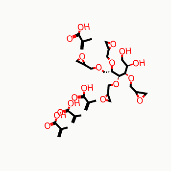 C=C(C)C(=O)O.C=C(C)C(=O)O.C=C(C)C(=O)O.C=C(C)C(=O)O.OC[C@@H](O)[C@@H](OCC1CO1)[C@H](OCC1CO1)[C@H](COCC1CO1)OCC1CO1